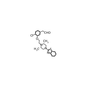 C[C@@H]1CN(c2nc3ccccc3s2)C[C@H](C)N1CCOc1cc(CC=O)ccc1Cl